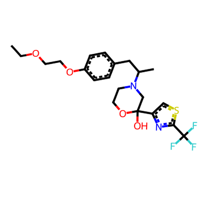 CCOCCOc1ccc(CC(C)N2CCOC(O)(c3csc(C(F)(F)F)n3)C2)cc1